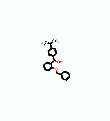 CC(C)c1ccc(C(O)c2ccccc2OCc2ccccc2)cc1